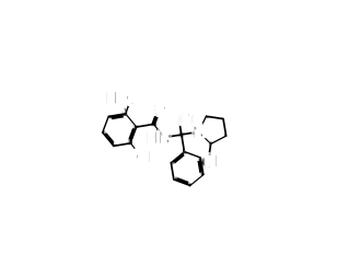 Cc1cccc(C)c1C(=O)NC(c1ccccc1)(C(C)C)N1CCCC1C